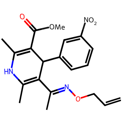 C=CCON=C(C)C1=C(C)NC(C)=C(C(=O)OC)C1c1cccc([N+](=O)[O-])c1